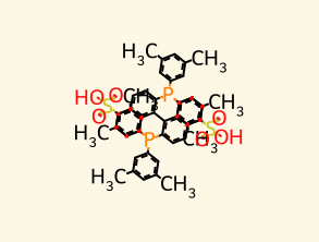 Cc1cc(C)cc(P(c2cc(C)cc(C)c2)c2ccc3c(S(=O)(=O)O)cccc3c2-c2c(P(c3cc(C)cc(C)c3)c3cc(C)cc(C)c3)ccc3c(S(=O)(=O)O)cccc23)c1